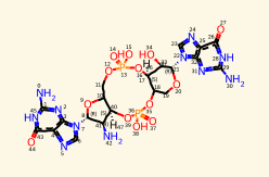 Nc1nc2c(ncn2[C@@H]2OC3COP(=O)(O)O[C@@H]4C(CO[C@@H](n5cnc6c(=O)[nH]c(N)nc65)[C@@H]4O)OP(=O)(O)O[C@H]3[C@H]2N)c(=O)[nH]1